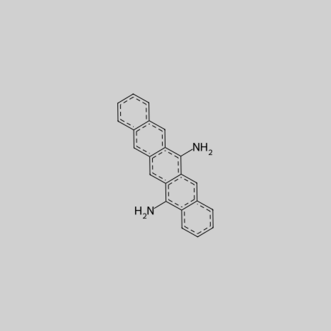 Nc1c2ccccc2cc2c(N)c3cc4ccccc4cc3cc12